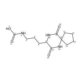 O=C(O)NCCCC1NC(=O)C2(CCCC2)NC1=O